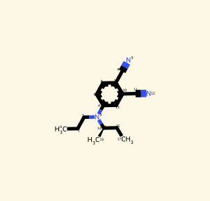 CCCN(c1ccc(C#N)c(C#N)c1)[C@H](C)CC